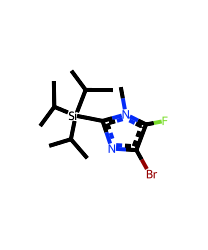 CC(C)[Si](c1nc(Br)c(F)n1C)(C(C)C)C(C)C